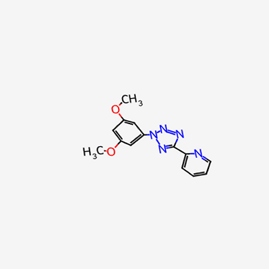 COc1cc(OC)cc(-n2nnc(-c3ccccn3)n2)c1